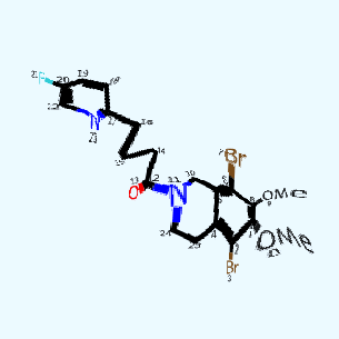 COc1c(Br)c2c(c(Br)c1OC)CN(C(=O)CCCc1ccc(F)cn1)CC2